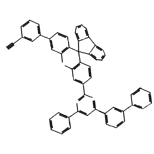 N#Cc1cccc(-c2ccc3c(c2)Oc2cc(-c4nc(-c5ccccc5)cc(-c5cccc(-c6ccccc6)c5)n4)ccc2C32c3ccccc3-c3ccccc32)c1